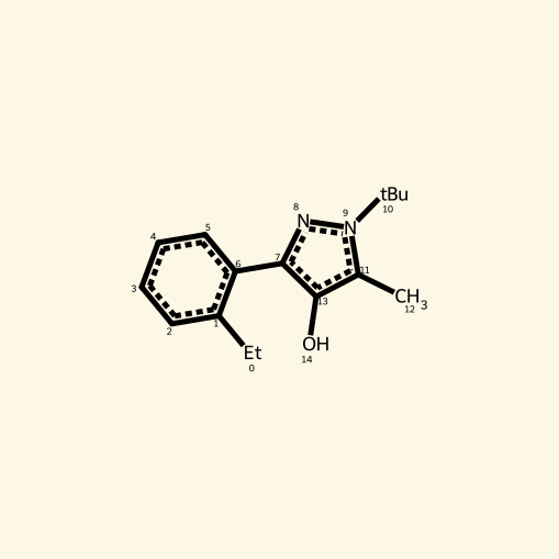 CCc1ccccc1-c1nn(C(C)(C)C)c(C)c1O